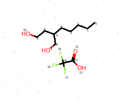 CCCCCC(CO)CCO.O=C(O)C(F)(F)F